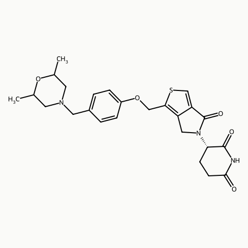 CC1CN(Cc2ccc(OCc3scc4c3CN([C@H]3CCC(=O)NC3=O)C4=O)cc2)CC(C)O1